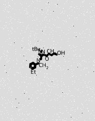 C=C(CCCO)C(=O)c1nn(C(C)(C)C)cc1/C=N/C(=C)c1cccc(CC)c1